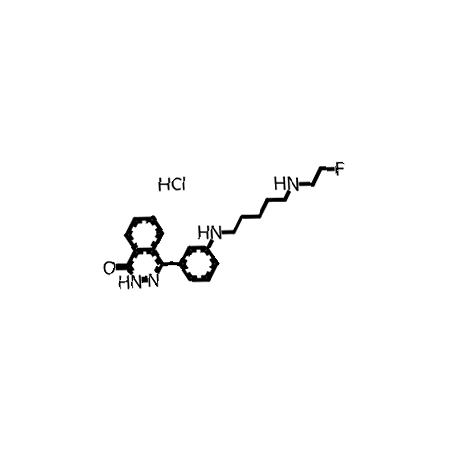 Cl.O=c1[nH]nc(-c2cccc(NCCCCCNCCF)c2)c2ccccc12